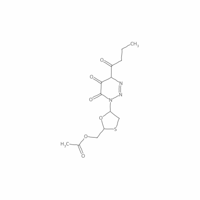 CCCC(=O)C1N=NN(C2CSC(COC(C)=O)O2)C(=O)C1=O